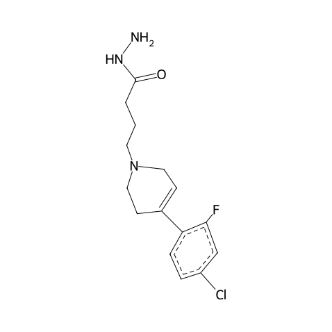 NNC(=O)CCCN1CC=C(c2ccc(Cl)cc2F)CC1